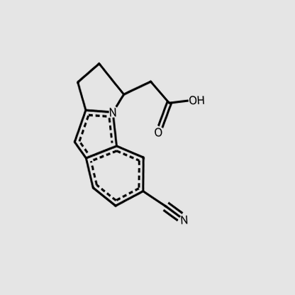 N#Cc1ccc2cc3n(c2c1)C(CC(=O)O)CC3